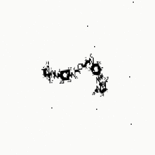 CN(CCOCCN(C)c1ccc(N=Nc2n(C)cc[n+]2C)cc1)c1ccc(N=Nc2n(C)cc[n+]2C)cc1